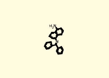 Nc1cccc2c(N=C(c3ccccc3)c3ccccc3)cccc12